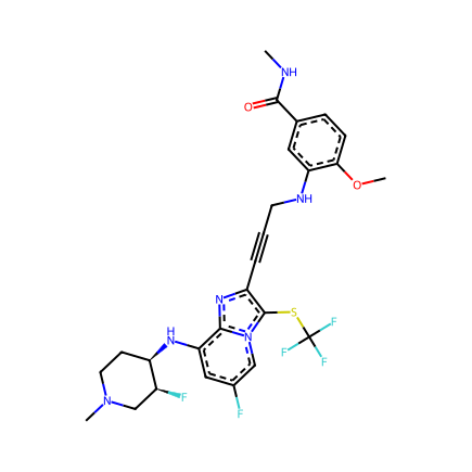 CNC(=O)c1ccc(OC)c(NCC#Cc2nc3c(N[C@@H]4CCN(C)C[C@@H]4F)cc(F)cn3c2SC(F)(F)F)c1